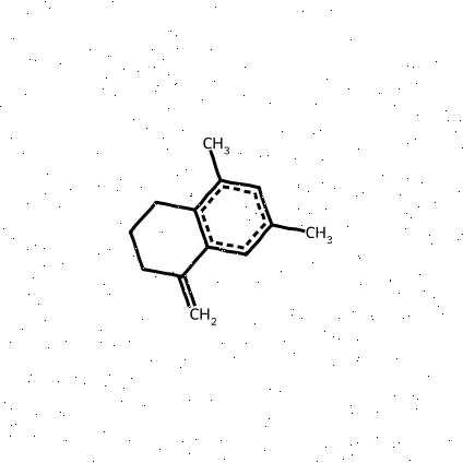 C=C1CCCc2c(C)cc(C)cc21